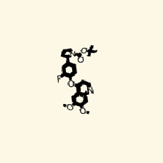 COc1cc2nccc(Oc3ccc(-c4cccn4C(=O)OC(C)(C)C)cc3F)c2cc1OC